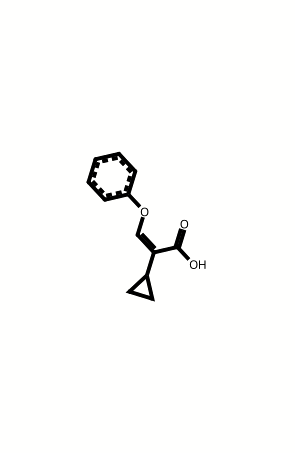 O=C(O)C(=COc1ccccc1)C1CC1